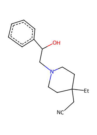 CCC1(CC#N)CCN(CC(O)c2ccccc2)CC1